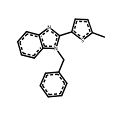 Cc1ccc(-c2nc3ccccc3n2Cc2ccccc2)s1